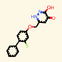 O=c1cc(COc2ccc(-c3ccccc3)c(F)c2)[nH]nc1O